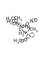 COCOc1cc2c(c(-c3cc(C)nc(OCCN4CCOCC4)nc(N4CCN(C(=O)OC(C)(C)C)CC4)c(C)cn3)c1)C=CCC=C2